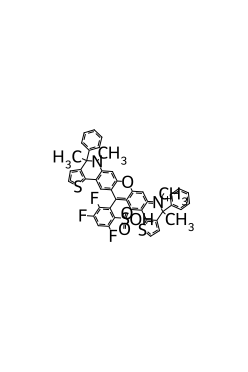 CN1c2cc3c(cc2-c2sccc2C1(C)c1ccccc1)C(c1c(F)c(F)cc(F)c1S(=O)(=O)O)=c1cc2c(cc1O3)=[N+](C)C(C)(c1ccccc1)c1ccsc1-2